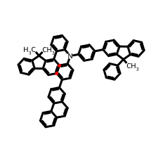 CC1(C)c2ccccc2-c2cccc(-c3ccccc3N(c3ccc(-c4ccc5c(c4)C(C)(c4ccccc4)c4ccccc4-5)cc3)c3ccc(-c4ccc5c(ccc6ccccc65)c4)cc3)c21